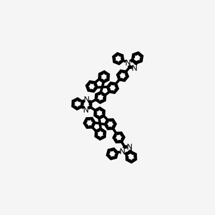 c1ccc(-n2c(-c3ccc(-c4ccc5c(c4)C4(c6ccccc6-c6ccccc64)c4cc(-c6nc7ccccc7nc6-c6ccc7c(c6)C6(c8ccccc8-c8ccccc86)c6cc(-c8ccc(-c9nc%10ccccc%10n9-c9ccccc9)cc8)ccc6-7)ccc4-5)cc3)nc3ccccc32)cc1